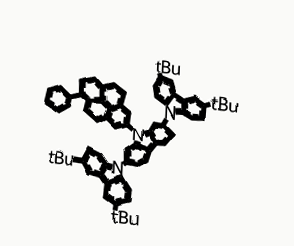 CC(C)(C)c1ccc2c(c1)c1cc(C(C)(C)C)ccc1n2-c1ccc2c3ccc(-n4c5ccc(C(C)(C)C)cc5c5cc(C(C)(C)C)ccc54)cc3n(-c3cc4ccc5ccc(-c6ccccc6)c6ccc(c3)c4c56)c2c1